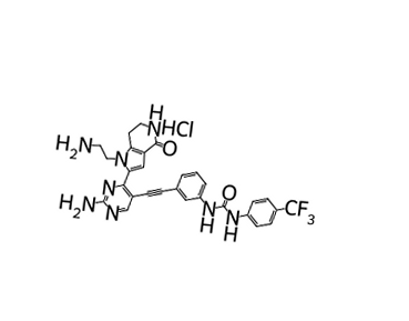 Cl.NCCn1c(-c2nc(N)ncc2C#Cc2cccc(NC(=O)Nc3ccc(C(F)(F)F)cc3)c2)cc2c1CCNC2=O